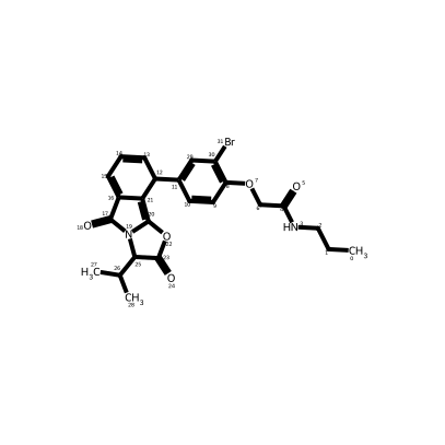 CCCNC(=O)COc1ccc(C2C=CC=C3C(=O)N4C(=C32)OC(=O)C4C(C)C)cc1Br